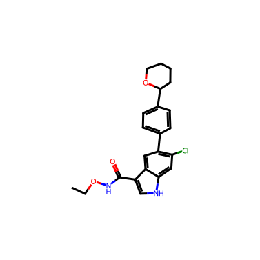 CCONC(=O)c1c[nH]c2cc(Cl)c(-c3ccc(C4CCCCO4)cc3)cc12